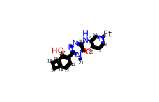 CCN1CCC[C@@H](Nc2nnc(-c3ccc4c(c3O)CC4)n(C)c2=O)C1